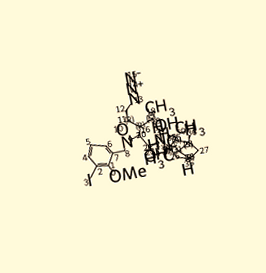 COc1c(I)cccc1CN1O[C@@H](CN=[N+]=[N-])[C@@H]([C@H](C)O)C1C(=O)N[C@H]1C[C@H]2C[C@@H]([C@@H]1C)C2(C)C